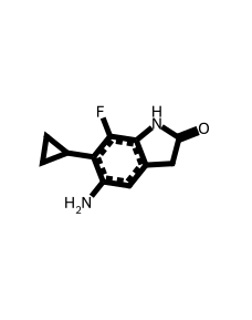 Nc1cc2c(c(F)c1C1CC1)NC(=O)C2